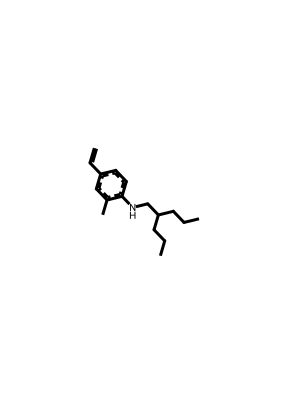 C=Cc1ccc(NCC(CCC)CCC)c(C)c1